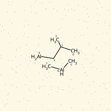 CC(C)[CH2][AlH2].[CH3][AlH][CH3]